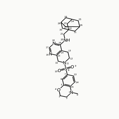 CN1CCOc2cc(S(=O)(=O)N3CCc4c(ncnc4NCC45CC6CC(CC(C6)C4)C5)C3)ccc21